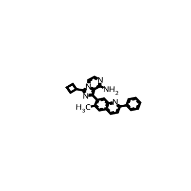 Cc1cc2ccc(-c3ccccc3)nc2cc1-c1nc(C2CCC2)n2ccnc(N)c12